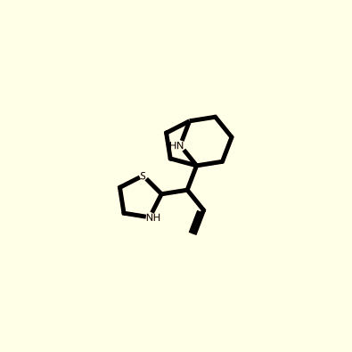 C=CC(C1NCCS1)C12CCCC(CC1)N2